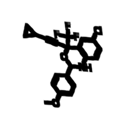 COc1ccc(C2Nc3ccc(Cl)cc3C(C#CC3CC3)(C(F)(F)F)O2)cc1